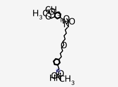 CNS(=O)(=O)/C=C/c1cccc(CCCCOCCCCCCN2C[C@@H](c3ccc4c(c3)COC(C)(C)O4)OC2=O)c1